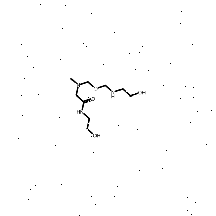 CN(COCNCCO)CC(=O)NCCO